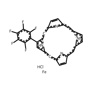 Cl.Fc1c(F)c(F)c(-c2cc3cc4nc(cc5ccc(cc6nc(cc2[nH]3)C=C6)[nH]5)C=C4)c(F)c1F.[Fe]